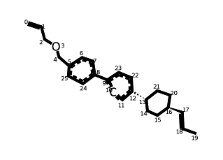 C=CCOCc1ccc(-c2ccc([C@H]3CC[C@H](C=CC)CC3)cc2)cc1